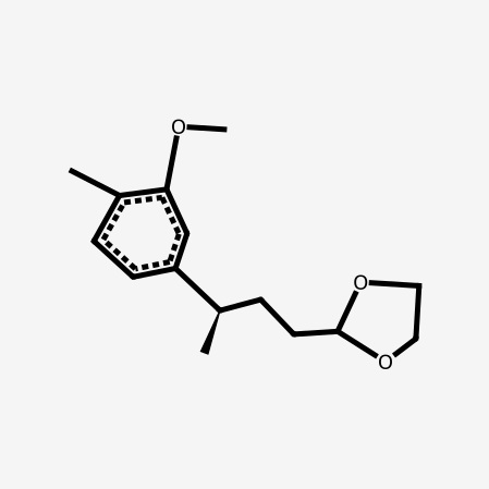 COc1cc([C@H](C)CCC2OCCO2)ccc1C